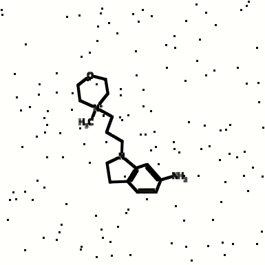 C[N+]1(CCCN2CCc3ccc(N)cc32)CCOCC1